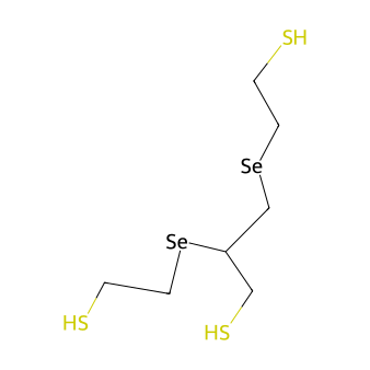 SCC[Se]CC(CS)[Se]CCS